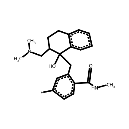 CNC(=O)c1ccc(F)cc1CC1(O)c2ccccc2CCC1CN(C)C